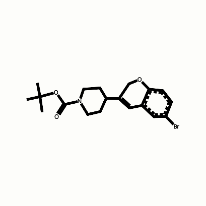 CC(C)(C)OC(=O)N1CCC(C2=Cc3cc(Br)ccc3OC2)CC1